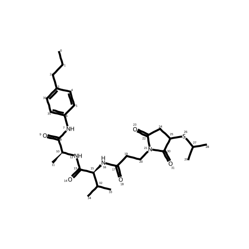 CCCc1ccc(NC(=O)[C@H](C)NC(=O)[C@@H](NC(=O)CCN2C(=O)CC(SC(C)C)C2=O)C(C)C)cc1